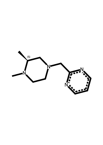 C[C@H]1CN(Cc2ncccn2)CCN1C